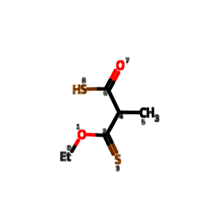 CCOC(=S)C(C)C(=O)S